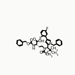 CC(=O)N(CC[C@H](NC(=O)OCc1ccccc1)C(=O)O)[C@@H](c1cc(-c2cc(F)ccc2F)cn1Cc1ccccc1)C(C)(C)C